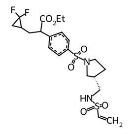 C=CS(=O)(=O)NC[C@H]1CCN(S(=O)(=O)c2ccc(C(CC3CC3(F)F)C(=O)OCC)cc2)C1